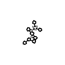 c1ccc(-c2ccc(-n3c4ccccc4c4cc5c(cc43)c3ccccc3n5-c3nc(-c4ccccc4)nc(-c4ccccc4)n3)c(-c3ccccc3)c2)cc1